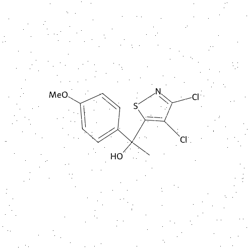 COc1ccc(C(C)(O)c2snc(Cl)c2Cl)cc1